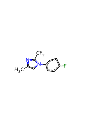 Cc1cn(-c2ccc(F)cc2)c(C(F)(F)F)n1